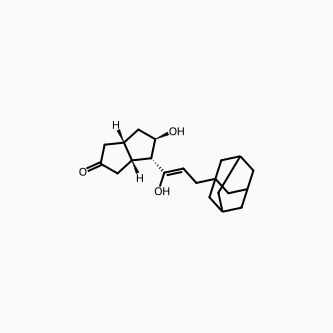 O=C1C[C@@H]2C[C@@H](O)[C@H](C(O)=CCC34CC5CC(CC(C5)C3)C4)[C@@H]2C1